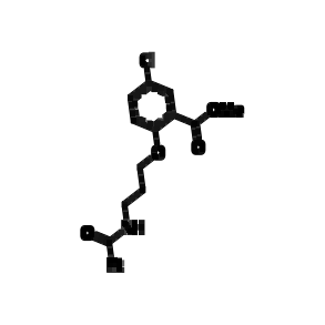 CCC(=O)NCCCOc1ccc(Cl)cc1C(=O)OC